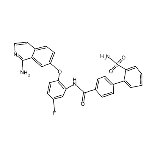 Nc1nccc2ccc(Oc3ccc(F)cc3NC(=O)c3ccc(-c4ccccc4S(N)(=O)=O)cc3)cc12